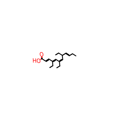 CC/C=C/C(C=C(/C=C(/C=C/C(=O)O)CC)CC)CC